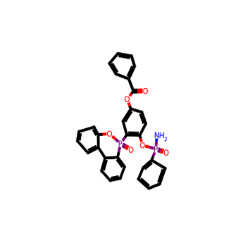 NP(=O)(Oc1ccc(OC(=O)c2ccccc2)cc1P1(=O)Oc2ccccc2-c2ccccc21)c1ccccc1